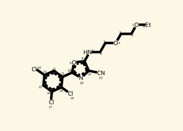 CCOCCOCCNc1oc(-c2cc(Cl)cc(Cl)c2Cl)nc1C#N